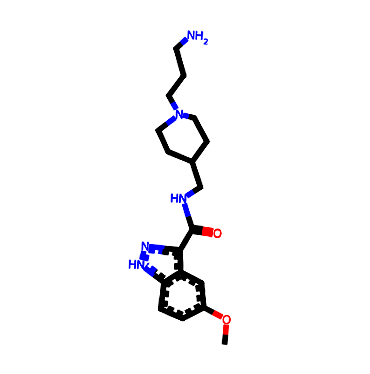 COc1ccc2[nH]nc(C(=O)NCC3CCN(CCCN)CC3)c2c1